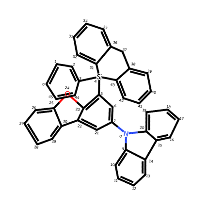 c1ccc([Si]2(c3cc(-n4c5ccccc5c5ccccc54)cc4c3oc3ccccc34)c3ccccc3Cc3ccccc32)cc1